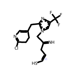 N=C(C/C=C\S)Cn1cc(C(F)(F)F)nc1CC1=CN=C(Cl)CC1